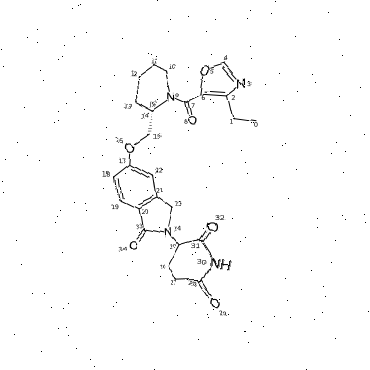 CCc1ncoc1C(=O)N1CCCC[C@H]1COc1ccc2c(c1)CN(C1CCC(=O)NC1=O)C2=O